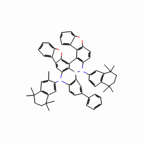 Cc1cc2c(cc1N1c3ccc(-c4ccccc4)cc3B3c4c1cc1c(oc5ccccc51)c4-c1c(ccc4oc5ccccc5c14)N3c1ccc3c(c1)C(C)(C)CCC3(C)C)C(C)(C)CCC2(C)C